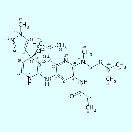 C=CC(=O)Nc1cc(NC2=N[C@@](Cl)(c3cnn(C)c3)C=CN2)c(OC(C)C)nc1N(C)CCN(C)C